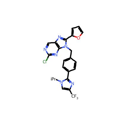 CC(C)n1cc(C(F)(F)F)nc1-c1ccc(Cn2c(-c3ccco3)nc3cnc(Cl)nc32)cc1